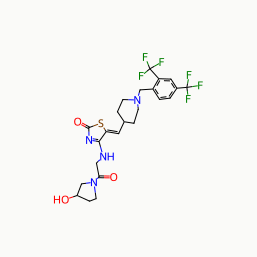 O=C1N=C(NCC(=O)N2CCC(O)C2)C(=CC2CCN(Cc3ccc(C(F)(F)F)cc3C(F)(F)F)CC2)S1